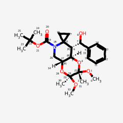 CO[C@@]1(C)O[C@@H]2[C@@H](C(O)c3ccccc3)C3(CC3)N(C(=O)OC(C)(C)C)C[C@H]2O[C@]1(C)OC